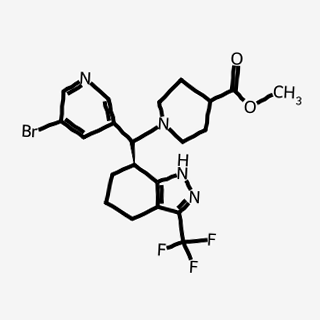 COC(=O)C1CCN(C(c2cncc(Br)c2)[C@@H]2CCCc3c(C(F)(F)F)n[nH]c32)CC1